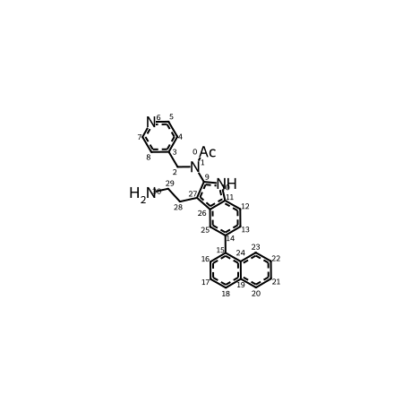 CC(=O)N(Cc1ccncc1)c1[nH]c2ccc(-c3cccc4ccccc34)cc2c1CCN